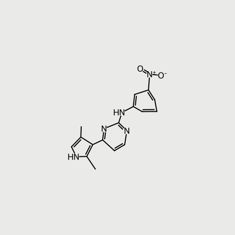 Cc1c[nH]c(C)c1-c1ccnc(Nc2cccc([N+](=O)[O-])c2)n1